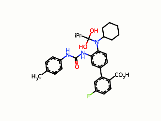 Cc1ccc(NC(=O)Nc2cc(-c3cc(F)ccc3C(=O)O)ccc2N(C2CCCCC2)C(O)(O)C(C)C)cc1